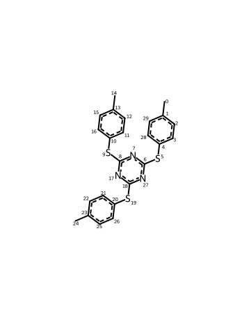 Cc1ccc(Sc2nc(Sc3ccc(C)cc3)nc(Sc3ccc(C)cc3)n2)cc1